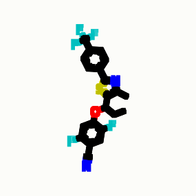 CCC(Oc1cc(F)c(C#N)cc1F)c1sc(-c2ccc(C(F)(F)F)cc2)nc1C